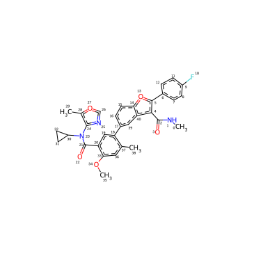 CNC(=O)c1c(-c2ccc(F)cc2)oc2ccc(-c3cc(C(=O)N(c4ncoc4C)C4CC4)c(OC)cc3C)cc12